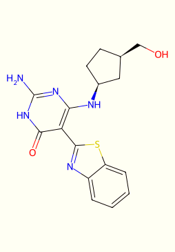 Nc1nc(N[C@H]2CC[C@@H](CO)C2)c(-c2nc3ccccc3s2)c(=O)[nH]1